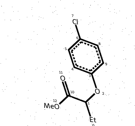 CCC(Oc1ccc(Cl)cc1)C(=O)OC